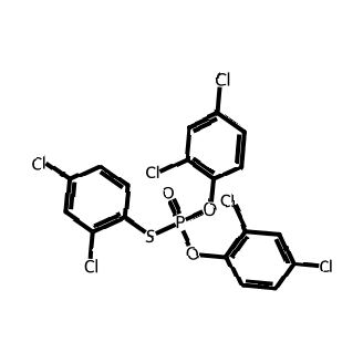 O=P(Oc1ccc(Cl)cc1Cl)(Oc1ccc(Cl)cc1Cl)Sc1ccc(Cl)cc1Cl